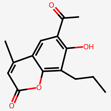 CCCc1c(O)c(C(C)=O)cc2c(C)cc(=O)oc12